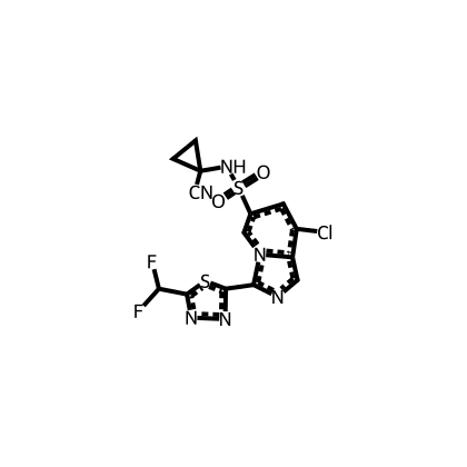 N#CC1(NS(=O)(=O)c2cc(Cl)c3cnc(-c4nnc(C(F)F)s4)n3c2)CC1